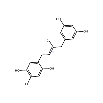 Oc1cc(O)cc(C/C(Cl)=C/Cc2cc(O)c(Cl)cc2O)c1